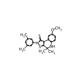 COc1ccc2c(c1)-c1c(sn(-c3cc(C)cc(C)c3)c1=S)C(C)(C)N2